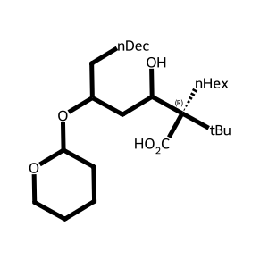 CCCCCCCCCCCC(CC(O)[C@](CCCCCC)(C(=O)O)C(C)(C)C)OC1CCCCO1